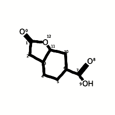 O=C1CC2CCC(C(=O)O)CC2O1